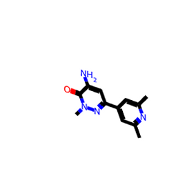 Cc1cc(-c2cc(N)c(=O)n(C)n2)cc(C)n1